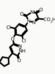 O=C(O)c1nn(-c2cc(Cl)c(Oc3cc(C4CCCC4)c(=O)[nH]n3)c(Cl)c2)c(=O)[nH]c1=O